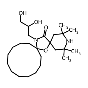 CC1(C)CC2(CC(C)(C)N1)OC1(CCCCCCCCCCC1)N(CC(O)CO)C2=O